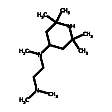 CN(C)CCN(C)C1CC(C)(C)NC(C)(C)C1